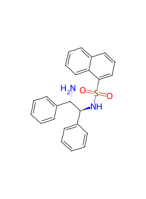 N[C@@H](c1ccccc1)[C@@H](NS(=O)(=O)c1cccc2ccccc12)c1ccccc1